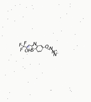 [N-]=[N+]=NCOc1ccc2sc(/C=C(\O)C(F)(F)F)nc2c1